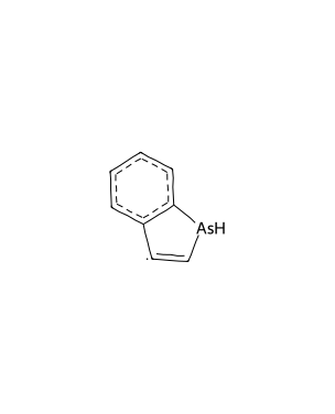 [C]1=C[AsH]c2ccccc21